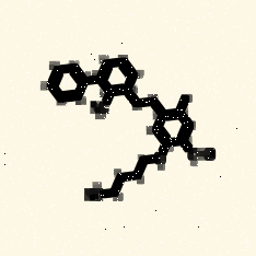 Cc1cc(C=O)c(OCCCCC#N)cc1CCc1cccc(-c2ccccc2)c1C#N